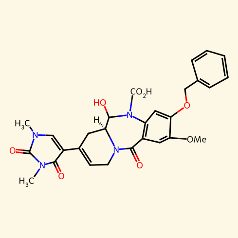 COc1cc2c(cc1OCc1ccccc1)N(C(=O)O)C(O)[C@@H]1CC(c3cn(C)c(=O)n(C)c3=O)=CCN1C2=O